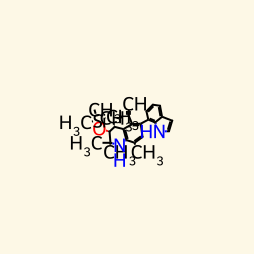 C#Cc1c(-c2cccc3cc[nH]c23)cc(C)c2c1[C@@H](C)[C@H](O[Si](C)(C)C)C(C)(C)N2